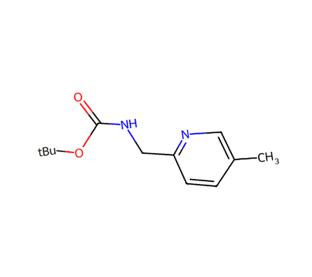 Cc1ccc(CNC(=O)OC(C)(C)C)nc1